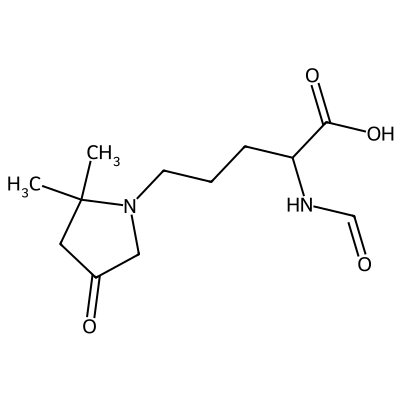 CC1(C)CC(=O)CN1CCCC(NC=O)C(=O)O